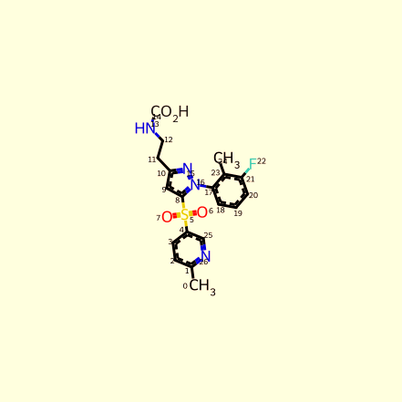 Cc1ccc(S(=O)(=O)c2cc(CCNC(=O)O)nn2-c2cccc(F)c2C)cn1